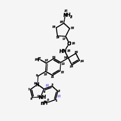 CCC/C=C\C=C1/NC=CN1Cc1ccc(C2(NOC3CCC(N)C3)C=CC2)cc1F